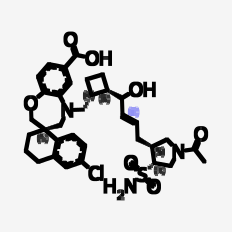 CC(=O)N1C[C@H](C/C=C/C(O)[C@@H]2CC[C@H]2CN2C[C@@]3(CCCc4cc(Cl)ccc43)COc3ccc(C(=O)O)cc32)[C@@H](S(N)(=O)=O)C1